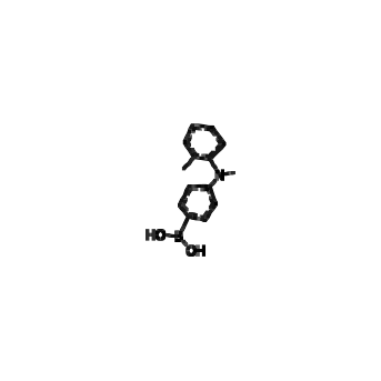 Cc1ccccc1N(C)c1ccc(B(O)O)cc1